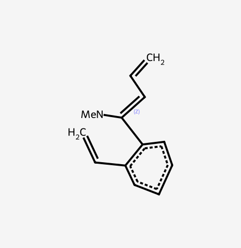 C=C/C=C(\NC)c1ccccc1C=C